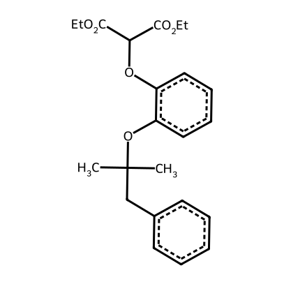 CCOC(=O)C(Oc1ccccc1OC(C)(C)Cc1ccccc1)C(=O)OCC